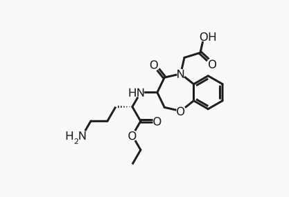 CCOC(=O)[C@H](CCCN)NC1COc2ccccc2N(CC(=O)O)C1=O